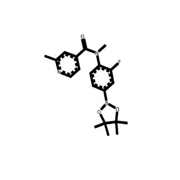 Cc1cc(C(=O)N(C)c2ccc(B3OC(C)(C)C(C)(C)O3)cc2F)ccn1